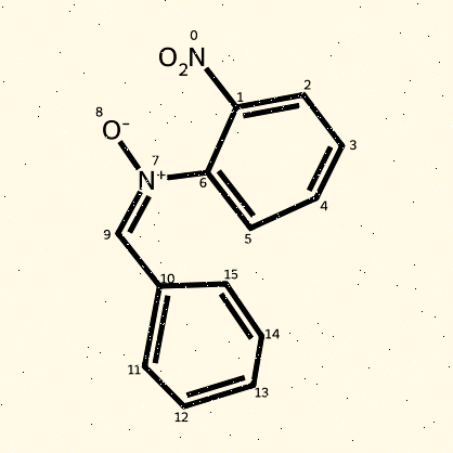 O=[N+]([O-])c1ccccc1/[N+]([O-])=C\c1ccccc1